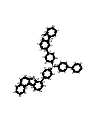 c1ccc(-c2ccc(N(c3ccc(-c4ccc5sc6ccccc6c5c4)cc3)c3ccc(-c4cccc5c4sc4ccc6ccccc6c45)cc3)cc2)cc1